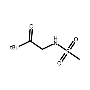 CC(C)(C)C(=O)CNS(C)(=O)=O